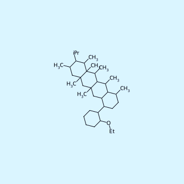 CCOC1CCCCC1C1CCC(C)C2C(C)C3C(C)C4(C)C(C)C(C(C)C)C(C)CC4(C)CC3(C)CC12